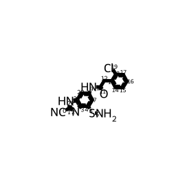 N#Cc1nc2c(SN)cc(NC(=O)Cc3ccccc3Cl)cc2[nH]1